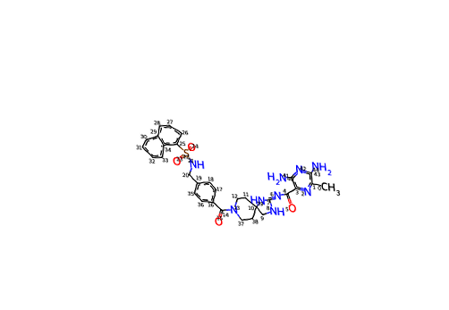 Cc1nc(C(=O)/N=C2\NCC3(CCN(C(=O)c4ccc(CNS(=O)(=O)c5cccc6ccccc56)cc4)CC3)N2)c(N)nc1N